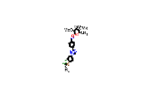 CO[C@@H]1[C@@H](OC)[C@H](C)O[C@@H](O/N=C/c2ccc(-c3ncn(-c4ccc(SC(C)(F)F)cc4)n3)cc2)[C@@H]1OC